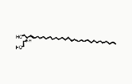 CCCCCCCCCCCCCCCCCCCCCCCCCC/C=C/C(CO)NCCO